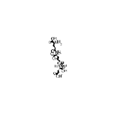 N[C@@H](CCC(=O)N[C@@H](CCCOP(=O)(O)N[C@@H](CCC(=O)O)C(=O)O)C(=O)O)C(=O)O